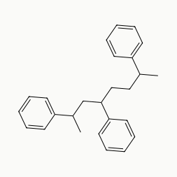 CC(CCC(CC(C)c1ccccc1)c1ccccc1)c1ccccc1